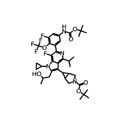 CC(O)Cc1c(C2C3CN(C(=O)OC(C)(C)C)CC32)c2c(C(C)C)nc(-c3cc(NC(=O)OC(C)(C)C)cc(F)c3OC(F)(F)F)c(F)c2n1C1CC1